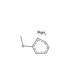 COc1c[c]ccc1.[MgH2]